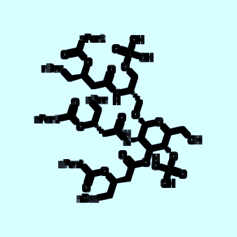 CCCCCCCCCCC[C@H](CC(=O)N[C@@H](CO[C@@H]1OC(CO)[C@H](OP(=O)(O)O)C(OC(=O)C[C@@H](CCCCCCCCCCC)OC(=O)CCCCC)[C@@H]1NC(=O)C[C@@H](CCCCCCCCCCC)OC(=O)CCCCC)COP(=O)(O)O)OC(=O)CCCCC